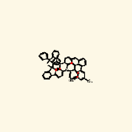 CC(C)(C)c1cc(-c2cccc3cccc(-c4ccccc4N(c4ccc5c(c4)C(C)(c4ccccc4)c4ccccc4-5)c4ccccc4-c4cccc5c4-c4ccccc4C5(C)c4ccccc4)c23)cc(C(C)(C)C)c1